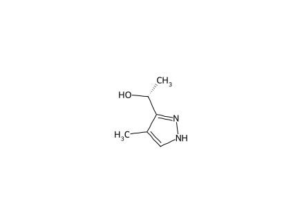 Cc1c[nH]nc1[C@@H](C)O